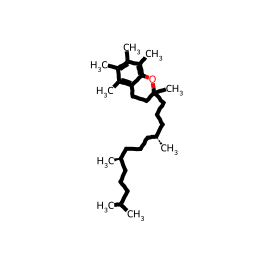 Cc1c(C)c(C)c2c(c1C)CCC(C)(CCC[C@H](C)CCC[C@H](C)CCCC(C)C)O2